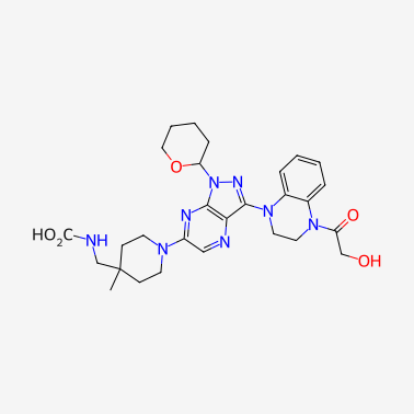 CC1(CNC(=O)O)CCN(c2cnc3c(N4CCN(C(=O)CO)c5ccccc54)nn(C4CCCCO4)c3n2)CC1